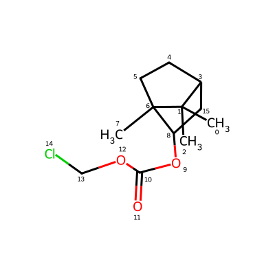 CC1(C)C2CCC1(C)C(OC(=O)OCCl)C2